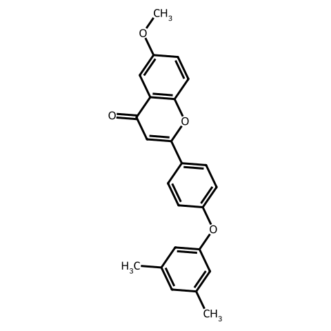 COc1ccc2oc(-c3ccc(Oc4cc(C)cc(C)c4)cc3)cc(=O)c2c1